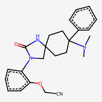 CN(C)C1(c2ccccc2)CCC2(CC1)CN(c1ccccc1OCC#N)C(=O)N2